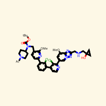 COc1nc(-c2cccc(-c3ccnc(-c4cc(OC)c5nc(CNCC6(O)CC6)nn5c4)c3Cl)c2Cl)ccc1CN(C(=O)OC(C)(C)C)C1CCN(C(C)=O)CC1